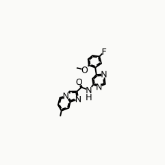 COc1ccc(F)cc1-c1cc(NC(=O)c2cn3ccc(C)cc3n2)ncn1